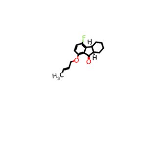 C/C=C/COc1ccc(F)c2c1C(=O)[C@H]1CCCC[C@H]21